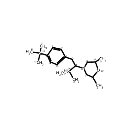 CC1CN(C(Cc2ccc([Si](C)(C)C)cc2)[SiH](C)C)CC(C)O1